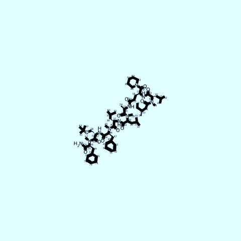 CC[C@H](C)CC(=O)N(C)[C@@H](CC(C)C)C(=O)N[C@@H](CCC(=O)N[C@H](C)C(=O)N(C)C(CC(C)C)C(=O)N[C@@H](CC(C)C)C(=O)N(C)[C@@H](Cc1ccccc1)C(=O)N[C@@H](COC(C)(C)C)C(=O)N(C)[C@@H](Cc1ccccc1)C(N)=O)C(=O)N1CCCCC1